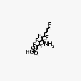 N.O=S(=O)(O)CC(F)C(F)C(F)C(F)C(F)C(F)CCCCF